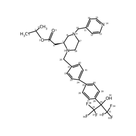 CC(C)OC(=O)C[C@H]1CN(Cc2ccncc2)CCN1Cc1ccc(-c2ccc(C(O)(C(F)(F)F)C(F)(F)F)cc2)cc1